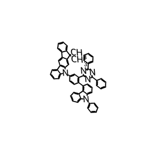 CC1(C)c2ccccc2-c2cc3c4ccccc4n(-c4ccc(-c5cccc6c5c5ccccc5n6-c5ccccc5)c(-c5nc(-c6ccccc6)nc(-c6ccccc6)n5)c4)c3cc21